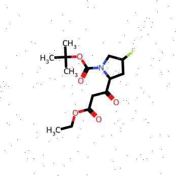 CCOC(=O)CC(=O)C1CC(F)CN1C(=O)OC(C)(C)C